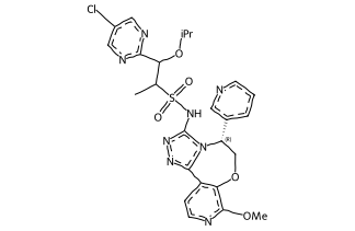 COc1nccc2c1OC[C@@H](c1cccnc1)n1c(NS(=O)(=O)C(C)C(OC(C)C)c3ncc(Cl)cn3)nnc1-2